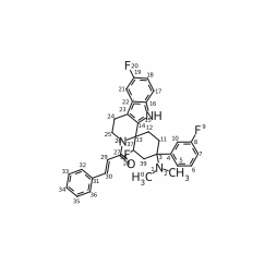 CN(C)C1(c2cccc(F)c2)CCC2(c3[nH]c4ccc(F)cc4c3CCN2C(=O)C=Cc2ccccc2)C(F)C1